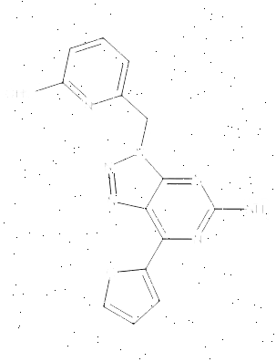 Nc1nc(-c2ccco2)c2nnn(Cc3cccc(C=O)n3)c2n1